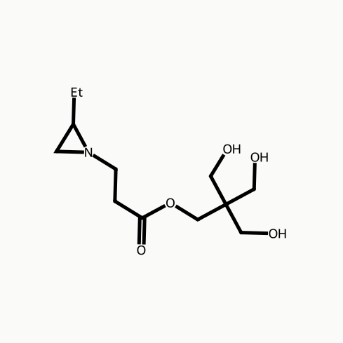 CCC1CN1CCC(=O)OCC(CO)(CO)CO